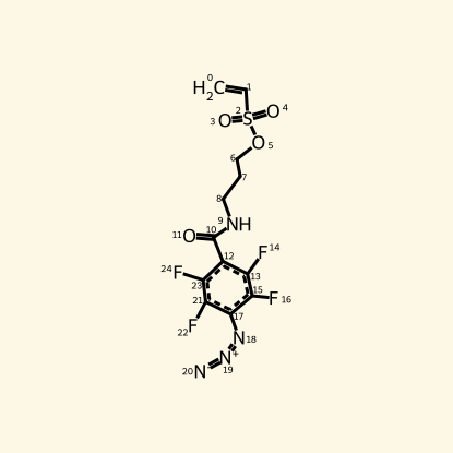 C=CS(=O)(=O)OCCCNC(=O)c1c(F)c(F)c(N=[N+]=[N-])c(F)c1F